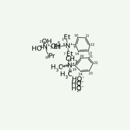 CC(C)[N+](O)(O)O.CC[N+](CC)(CC)c1ccccc1.C[N+](C)(C)c1ccccc1.[OH-].[OH-].[OH-]